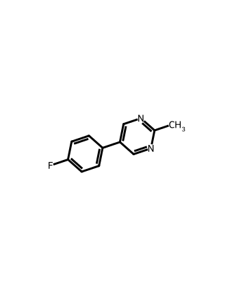 Cc1ncc(-c2ccc(F)cc2)cn1